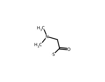 CN(C)CC(=O)[S]